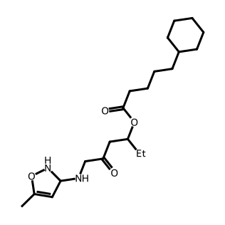 CCC(CC(=O)CNC1C=C(C)ON1)OC(=O)CCCCC1CCCCC1